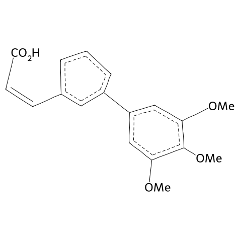 COc1cc(-c2cccc(/C=C\C(=O)O)c2)cc(OC)c1OC